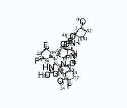 COc1ccc(CN(c2nn(C)c3c(-n4c([C@H](Cc5cc(F)cc(F)c5)NC(=O)O)nc5c(OC)c(F)ccc5c4=O)ccc(Cl)c23)S(C)(=O)=O)cc1